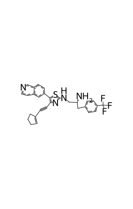 N[C@H](CNc1nc(C#CC2=CCCC2)c(-c2ccc3cnccc3c2)s1)Cc1ccc(C(F)(F)F)cc1